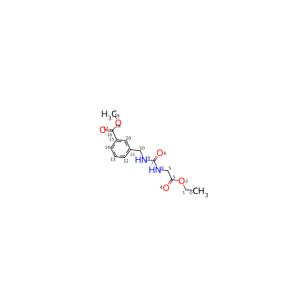 CCOC(=O)CNC(=O)NCc1cccc(C(=O)OC)c1